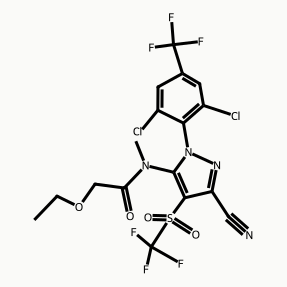 CCOCC(=O)N(C)c1c(S(=O)(=O)C(F)(F)F)c(C#N)nn1-c1c(Cl)cc(C(F)(F)F)cc1Cl